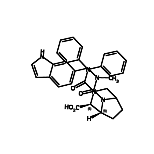 CN(Cc1ccc2cc[nH]c2c1)C(=O)N1C2CC[C@@H]1[C@@H](C(=O)O)N(C(=O)N(c1ccccc1)c1ccccc1)C2